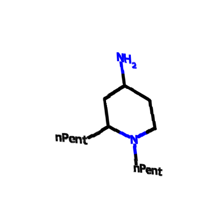 CCCCCC1CC(N)CCN1CCCCC